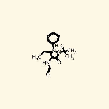 CCc1c(NC=O)c(=O)n(C(C)(C)C)n1-c1ccccc1